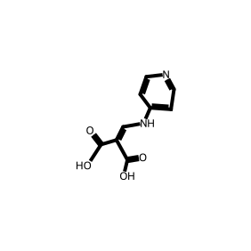 O=C(O)C(=CNc1ccncc1)C(=O)O